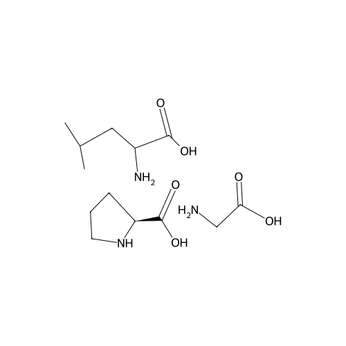 CC(C)CC(N)C(=O)O.NCC(=O)O.O=C(O)[C@@H]1CCCN1